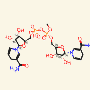 COP(=O)(OC[C@H]1O[C@H](N2C=CCC(C(N)=O)=C2)[C@H](O)[C@@H]1O)OP(=O)(O)OC[C@H]1O[C@@H](N2C=CCC(C(N)=O)=C2)[C@H](O)[C@@H]1O